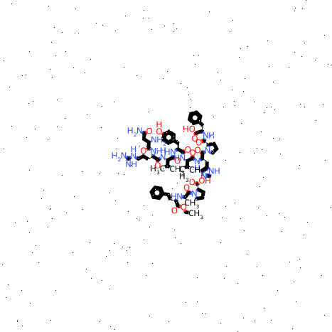 CC(C)[C@H](NC(=O)[C@H](CCCNC(=N)N)NC(=O)[C@@H](N)CC(N)=O)C(=O)N[C@@H](Cc1ccc(O)cc1)C(=O)N[C@H](C(=O)N[C@@H](Cc1cnc[nH]1)C(=O)N1CCC[C@H]1C(=O)N[C@@H](Cc1ccccc1)C(=O)O)C(C)C.CCOC(=O)[C@H](CCc1ccccc1)N[C@@H](C)C(=O)N1CCC[C@H]1C(=O)O